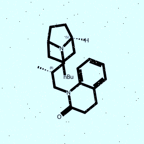 CCCCC1CC2CC[C@@H](C1)N2C[C@@H](C)CN1C(=O)CCc2ccccc21